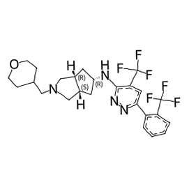 FC(F)(F)c1ccccc1-c1cc(C(F)(F)F)c(N[C@@H]2C[C@@H]3CN(CC4CCOCC4)C[C@@H]3C2)nn1